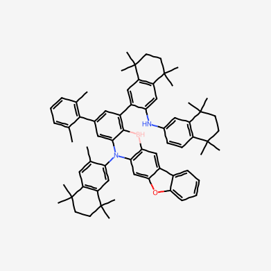 Cc1cc2c(cc1N1c3cc4oc5ccccc5c4cc3Bc3c(-c4cc5c(cc4Nc4ccc6c(c4)C(C)(C)CCC6(C)C)C(C)(C)CCC5(C)C)cc(-c4c(C)cccc4C)cc31)C(C)(C)CCC2(C)C